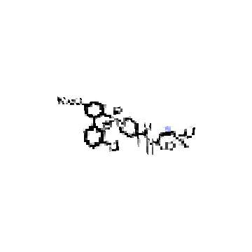 COc1ccc(S(=O)(=O)N2CCC(F)(C(=O)N[C@H](C)/C=C\S(C)(=O)=O)CC2)c(-c2cccc(Cl)c2)c1